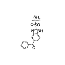 CC(C)(N)S(=O)(=O)c1nc2cc(C(=O)c3ccccc3)ccc2[nH]1